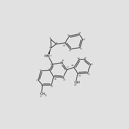 Cc1ccc2c(N[C@H]3CC3c3ccccc3)nc(-c3ccccc3O)nc2c1